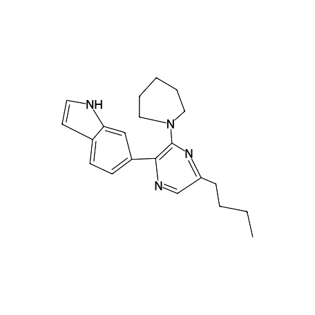 CCCCc1cnc(-c2ccc3cc[nH]c3c2)c(N2CCCCC2)n1